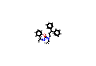 CC(C)CN(CCC(c1ccccc1)c1ccccc1)C(=O)NC(C)c1ccccc1